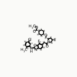 COC(=O)[C@H]1CC[C@H](OC[C@@H]2C[C@H](F)CN2C(=O)Cc2ccc3nc(Nc4cc(Cl)ccc4C)oc3c2F)CC1